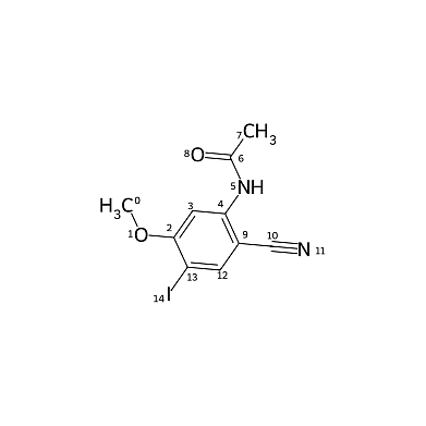 COc1cc(NC(C)=O)c(C#N)cc1I